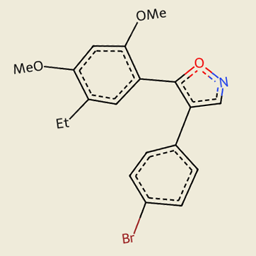 CCc1cc(-c2oncc2-c2ccc(Br)cc2)c(OC)cc1OC